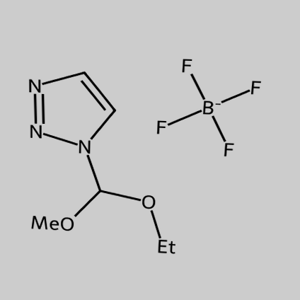 CCOC(OC)n1ccnn1.F[B-](F)(F)F